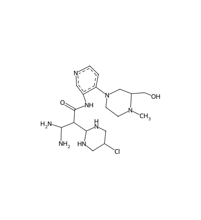 CN1CCN(c2ccncc2NC(=O)C(C(N)N)C2NCC(Cl)CN2)CC1CO